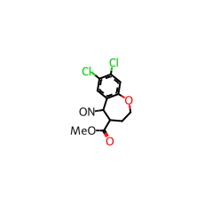 COC(=O)C1CCOc2cc(Cl)c(Cl)cc2C1N=O